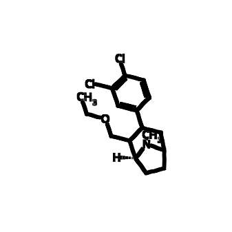 CCOCC1C(c2ccc(Cl)c(Cl)c2)CC2CC[C@@H]1N2C